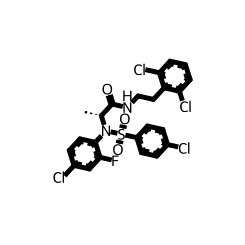 C[C@H](C(=O)NCCc1c(Cl)cccc1Cl)N(c1ccc(Cl)cc1F)S(=O)(=O)c1ccc(Cl)cc1